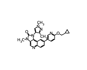 Cc1nn(C)cc1-n1c(=O)n(C)c2cnc3ccc(-c4ccc(OCC5CC5)nc4)cc3c21